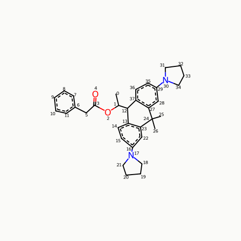 CC(OC(=O)Cc1ccccc1)C1c2ccc(N3CCCC3)cc2C(C)(C)c2cc(N3CCCC3)ccc21